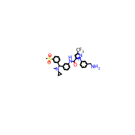 CN(C1CC1)C(c1cccc(NC(=O)c2cc(C(F)(F)F)nn2-c2cccc(CN)c2)c1)c1cccc(S(C)(=O)=O)c1